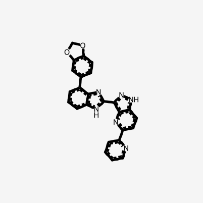 c1ccc(-c2ccc3[nH]nc(-c4nc5c(-c6ccc7c(c6)OCO7)cccc5[nH]4)c3n2)nc1